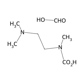 CN(C)CCN(C)C(=O)O.O=CO